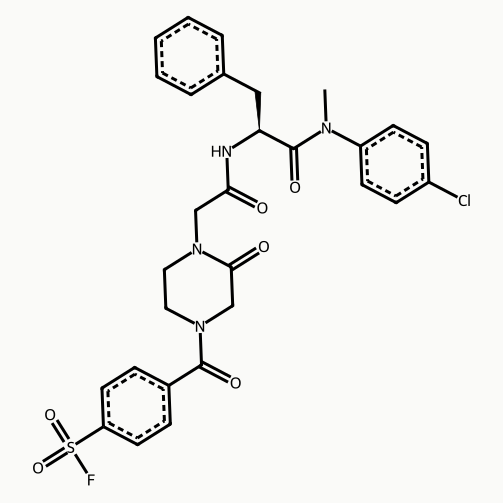 CN(C(=O)[C@H](Cc1ccccc1)NC(=O)CN1CCN(C(=O)c2ccc(S(=O)(=O)F)cc2)CC1=O)c1ccc(Cl)cc1